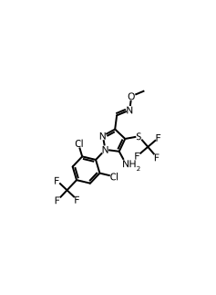 CON=Cc1nn(-c2c(Cl)cc(C(F)(F)F)cc2Cl)c(N)c1SC(F)(F)F